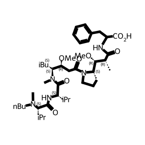 CCCCN(C)[C@H](C(=O)N[C@H](C(=O)N(C)[C@@H]([C@@H](C)CC)[C@@H](CC(=O)N1CCC[C@H]1[C@H](OC)[C@@H](C)C(=O)NC(Cc1ccccc1)C(=O)O)OC)C(C)C)C(C)C